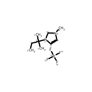 CCC(C)(C)N1C=CN(C)C1.F[B-](F)(F)F